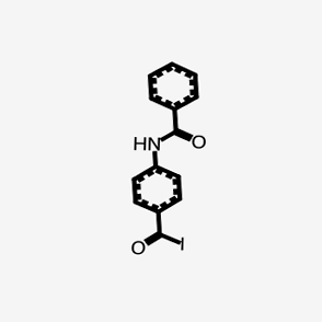 O=C(I)c1ccc(NC(=O)c2ccccc2)cc1